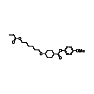 C=CC(=O)OCCCCCCOC1CCC(C(=O)Oc2ccc(OC)cc2)CC1